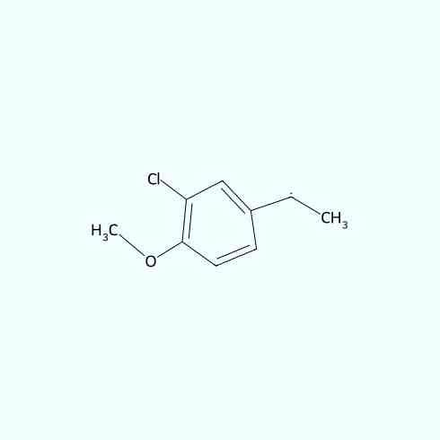 C[CH]c1ccc(OC)c(Cl)c1